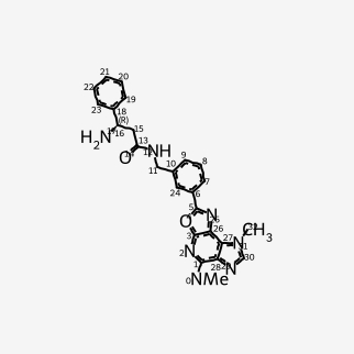 CNc1nc2oc(-c3cccc(CNC(=O)C[C@@H](N)c4ccccc4)c3)nc2c2c1ncn2C